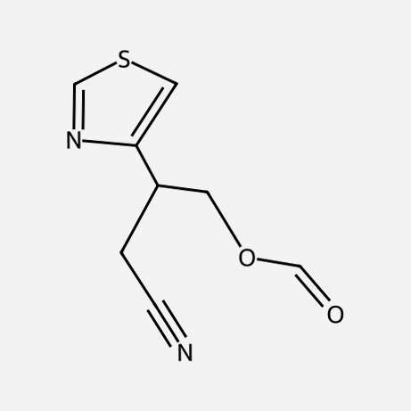 N#CCC(COC=O)c1cscn1